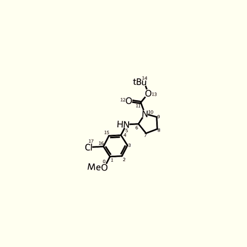 COc1ccc(NC2CCCN2C(=O)OC(C)(C)C)cc1Cl